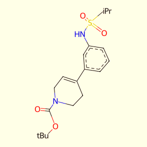 CC(C)S(=O)(=O)Nc1cccc(C2=CCN(C(=O)OC(C)(C)C)CC2)c1